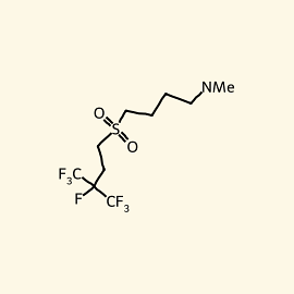 CNCCCCS(=O)(=O)CCC(F)(C(F)(F)F)C(F)(F)F